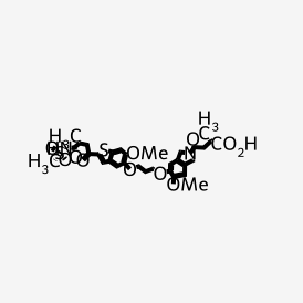 COc1cc2c(cc1OCCCOc1cc3cc(C(=O)CC(C)C(=O)NS(C)(=O)=O)sc3cc1OC)CN(C(=O)CC(C)C(=O)O)C2